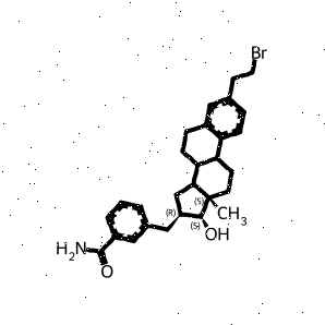 C[C@]12CCC3c4ccc(CCBr)cc4CCC3C1C[C@H](Cc1cccc(C(N)=O)c1)[C@@H]2O